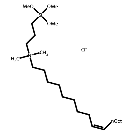 CCCCCCCC/C=C\CCCCCCCC[N+](C)(C)CCC[Si](OC)(OC)OC.[Cl-]